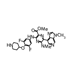 CNc1nc(Nc2cc(F)c(OC3CCNCC3)c(F)c2)c(C(=O)OC)nc1-c1cncc2c1ncn2C